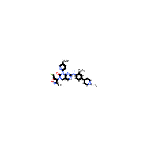 COc1ccc(N2C(=O)N(c3c(C)noc3CF)Cc3cnc(Nc4ccc(C5CCN(C)CC5)cc4OC)nc32)nc1